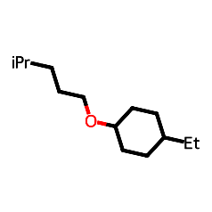 CCC1CCC(OCCCC(C)C)CC1